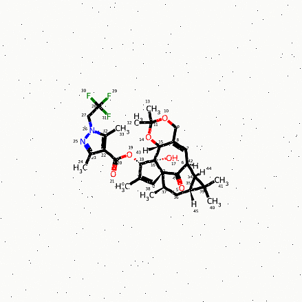 CC1=C[C@]23C(=O)[C@@H](C=C4COC(C)(C)O[C@H]4[C@]2(O)[C@H]1OC(=O)c1c(C)nn(CC(F)(F)F)c1C)[C@H]1[C@@H](C[C@H]3C)C1(C)C